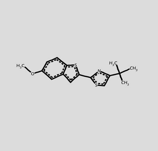 COc1ccc2sc(-c3nc(C(C)(C)C)cs3)cc2c1